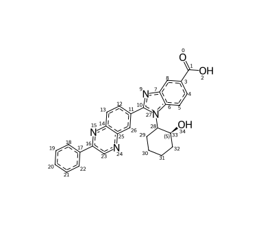 O=C(O)c1ccc2c(c1)nc(-c1ccc3nc(-c4ccccc4)cnc3c1)n2C1CCCC[C@@H]1O